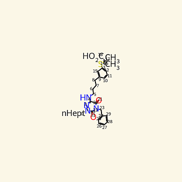 CCCCCCCn1nc(NCCCCc2cccc(SC(C)(C)C(=O)O)c2)c(=O)n(Cc2ccccc2)c1=O